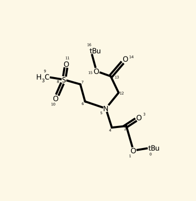 CC(C)(C)OC(=O)CN(CCS(C)(=O)=O)CC(=O)OC(C)(C)C